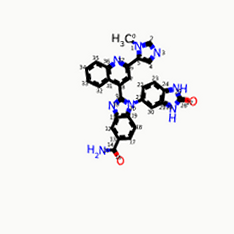 Cn1cncc1-c1cc(-c2nc3cc(C(N)=O)ccc3n2-c2ccc3[nH]c(=O)[nH]c3c2)c2ccccc2n1